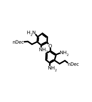 CCCCCCCCCCCCc1c(N)ccc(Oc2ccc(N)c(CCCCCCCCCCCC)c2N)c1N